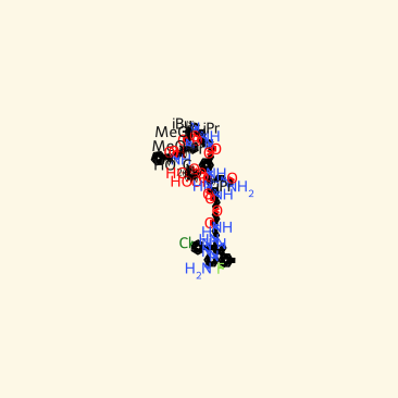 CC[C@H](C)[C@@H]([C@@H](CC(=O)N1CCC[C@H]1[C@H](OC)[C@@H](C)C(=O)N[C@H](C)[C@@H](O)c1ccccc1)OC)N(C)C(=O)[C@@H](NC(=O)[C@H](C(C)C)N(C)C(=O)OCc1ccc(O[C@@H]2O[C@H](C(=O)O)[C@@H](O)[C@H](O)[C@H]2O)c(NC(=O)[C@H](CCCNC(N)=O)NC(=O)[C@@H](NC(=O)CCOCCC(=O)NCCNc2ncc(-c3cc(C)cc(F)c3)c(N3CCC(N)CC3)c2-c2nc3ccc(Cl)cc3[nH]2)C(C)C)c1)C(C)C